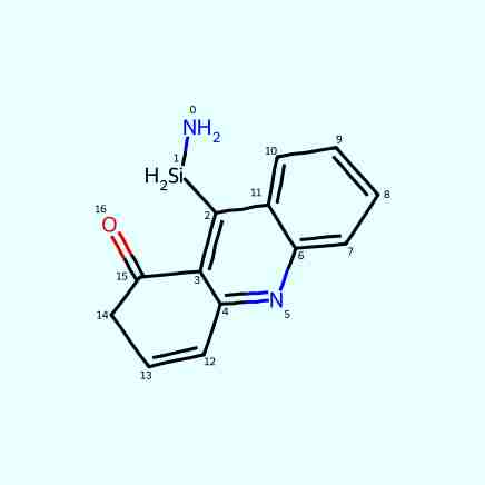 N[SiH2]c1c2c(nc3ccccc13)C=CCC2=O